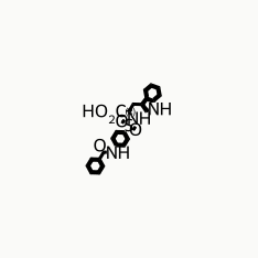 O=C(Nc1ccc(S(=O)(=O)N[C@H](Cc2c[nH]c3ccccc23)C(=O)O)cc1)c1ccccc1